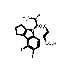 C[C@H](N)Cn1c2c(c3c(F)c(F)ccc31)CCC2.O=C(O)/C=C/C(=O)O